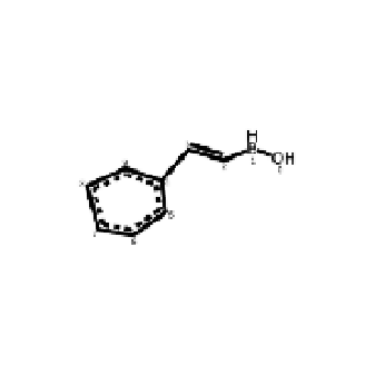 OB/C=C/c1ccccc1